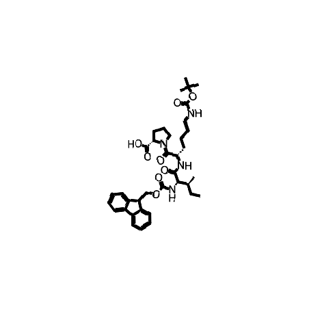 CC[C@H](C)[C@H](NC(=O)OCC1c2ccccc2-c2ccccc21)C(=O)N[C@@H](CCCCNC(=O)OC(C)(C)C)C(=O)N1CCC[C@H]1C(=O)O